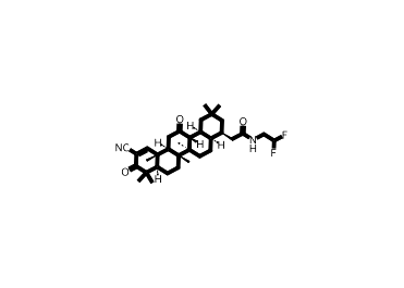 CC1(C)C[C@@H](CC(=O)NCC(F)F)[C@H]2CC[C@]3(C)[C@H](C(=O)C[C@@H]4[C@@]5(C)C=C(C#N)C(=O)C(C)(C)[C@@H]5CC[C@]43C)[C@H]2C1